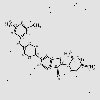 C=C1CCC(N2Cc3cc(C4CCN(Cc5cc(C)cc(C)c5)CC4)ccc3C2=O)C(=C)N1